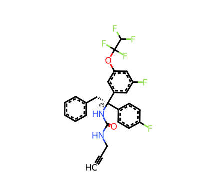 C#CCNC(=O)N[C@](Cc1ccccc1)(c1ccc(F)cc1)c1cc(F)cc(OC(F)(F)C(F)F)c1